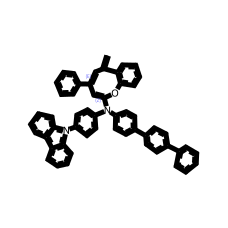 C=C1/C=C(c2ccccc2)\C=C(\N(c2ccc(-c3ccc(-c4ccccc4)cc3)cc2)c2ccc(-n3c4ccccc4c4ccccc43)cc2)Oc2ccccc21